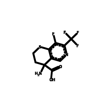 NC1(C(=O)O)CCSc2c1cnc(C(F)(F)F)c2F